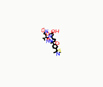 COc1cc(C(C(=O)N2CC(O)CC2C2=CC(=O)C(C)(c3ccc(-c4scnc4C)cc3)N2)C(C)C)on1